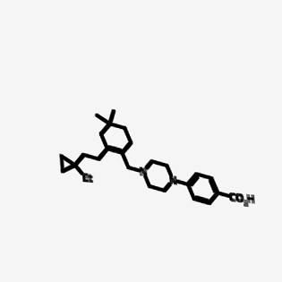 CCC1(CCC2=C(CN3CCN(c4ccc(C(=O)O)cc4)CC3)CCC(C)(C)C2)CC1